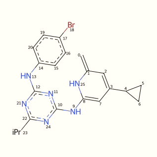 C=C1C=C(C2CC2)C=C(Nc2nc(Nc3ccc(Br)cc3)nc(C(C)C)n2)N1